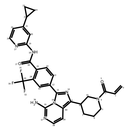 C=CC(=O)N1CCCC(c2nc(-c3ccc(C(=O)Nc4cc(C5CC5)ccn4)c(C(F)(F)F)c3)n3c(N)nccc23)C1